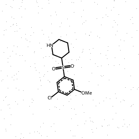 COc1cc(Cl)cc(S(=O)(=O)C2CCCNC2)c1